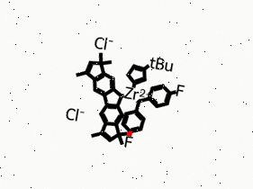 CC1=CC(C)(C)c2cc3c(cc21)-c1cc2c(cc1[CH]3[Zr+2]([C]1=CC(C(C)(C)C)=CC1)=[C](c1ccc(F)cc1)c1ccc(F)cc1)C(C)(C)C=C2C.[Cl-].[Cl-]